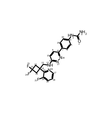 NC(=O)Nc1ccc(-c2ccc(NCC3(c4ncccc4F)CC(F)(F)C3)nn2)cc1